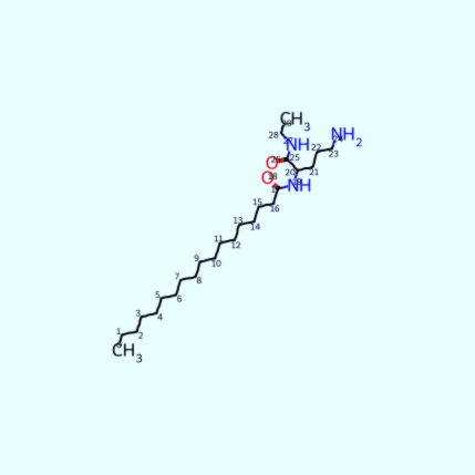 CCCCCCCCCCCCCCCCCC(=O)NC(CCCN)C(=O)NCC